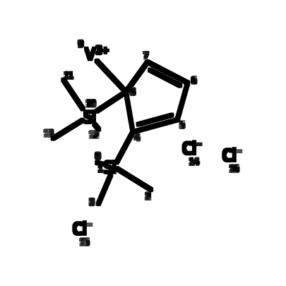 C[Si](C)(C)C1=CC=C[C]1([V+3])[Si](C)(C)C.[Cl-].[Cl-].[Cl-]